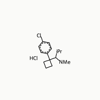 CNC(C(C)C)C1(c2ccc(Cl)cc2)CCC1.Cl